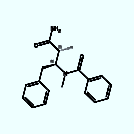 C[C@@H](C(N)=O)[C@H](Cc1ccccc1)N(C)C(=O)c1ccccc1